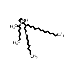 CCCCCCCCCCCCCC(CCCCCCCCCCCC)c1[nH]cc[n+]1C(C)CCCCCC